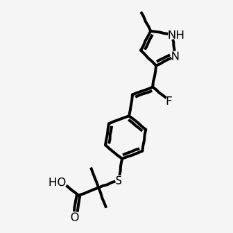 Cc1cc(C(F)=Cc2ccc(SC(C)(C)C(=O)O)cc2)n[nH]1